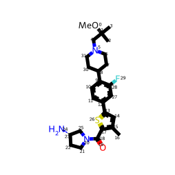 COC(C)(C)CN1CCC(c2ccc(-c3cc(C)c(C(=O)N4CC[C@H](N)C4)s3)cc2F)CC1